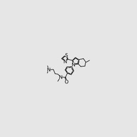 CC1CCc2c(cc(-c3nccs3)n2-c2ccc(C(=O)N(C)CCCN(C)C)cc2)C1